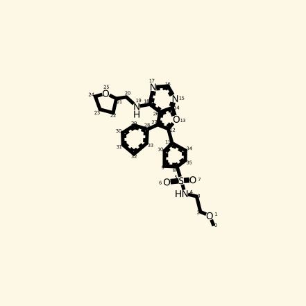 COCCNS(=O)(=O)c1ccc(-c2oc3ncnc(NCC4CCCO4)c3c2-c2ccccc2)cc1